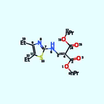 CCCOC(=O)C(=CNc1nc(CC)c(CC)s1)C(=O)OCCC